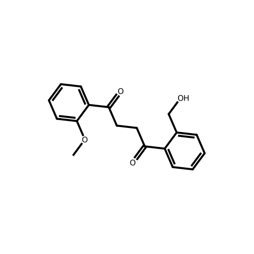 COc1ccccc1C(=O)CCC(=O)c1ccccc1CO